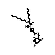 CCCCCCCCC(CCCCCC)C(=O)NC12CC(C(=O)Oc3c(F)c(F)cc(F)c3F)(C1)C2